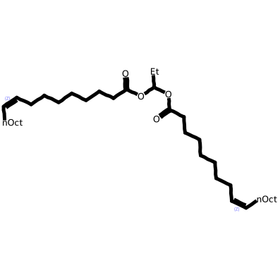 CCCCCCCC/C=C\CCCCCCCC(=O)OC(CC)OC(=O)CCCCCCC/C=C\CCCCCCCC